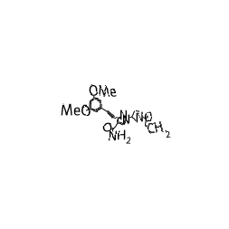 C=CC(=O)N1CCC(n2cc(C(N)=O)c(C#Cc3cc(OC)cc(OC)c3)n2)C1